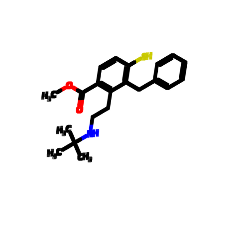 COC(=O)c1ccc(S)c(Cc2ccccc2)c1CCNC(C)(C)C